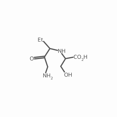 CCC(NC(CO)C(=O)O)C(=O)CN